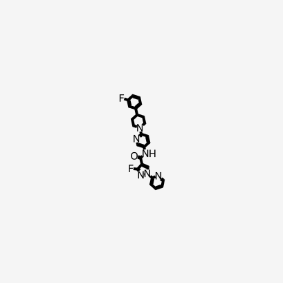 O=C(Nc1ccc(N2CCC(c3cccc(F)c3)CC2)nc1)c1cn(-c2ccccn2)nc1F